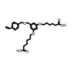 C=Cc1ccc(COCc2cc(OCCCCCC(=O)O)cc(OCCCCCC(=O)O)c2)cc1